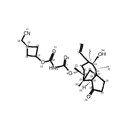 C=C[C@]1(C)C[C@@H](OC(=O)NC(=O)OC2CN(CC#N)C2)[C@]2(C)[C@H](C)CC[C@]3(CCC(=O)[C@H]32)[C@@H](C)[C@@H]1O